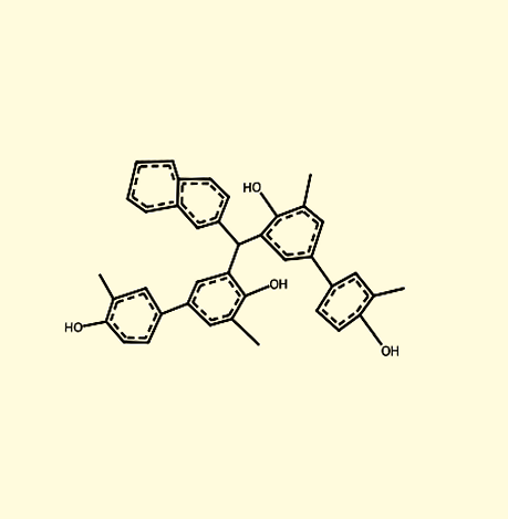 Cc1cc(-c2cc(C)c(O)c(C(c3ccc4ccccc4c3)c3cc(-c4ccc(O)c(C)c4)cc(C)c3O)c2)ccc1O